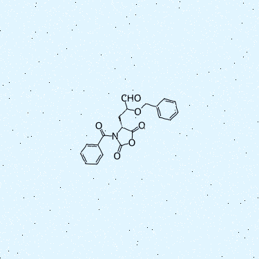 O=CC(C[C@H]1C(=O)OC(=O)N1C(=O)c1ccccc1)OCc1ccccc1